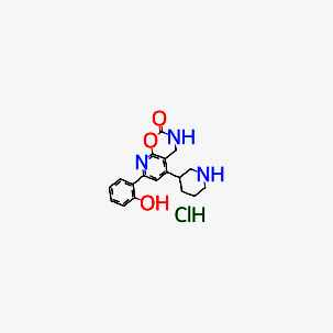 Cl.O=C1NCc2c(C3CCCNC3)cc(-c3ccccc3O)nc2O1